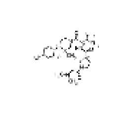 CC(C)[C@@H](NC(=O)[C@@H]1CCN(C(=O)CN(C)C)C1)C(=O)N1CC[C@H](c2ccc(Cl)cc2)C(C)(C)C1